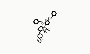 CC1(C)C(=O)N(c2ccc(OCc3ccccc3)nc2OCc2ccccc2)c2cccc(N3CCC4(CC3)OCCO4)c21